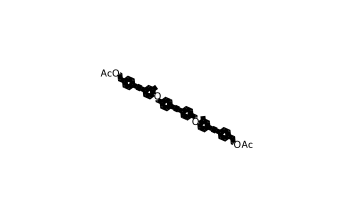 CC(=O)OCCc1ccc(C#Cc2ccc(OCc3ccc(C#Cc4ccc(COc5ccc(C#Cc6ccc(CCOC(C)=O)cc6)cc5C)cc4)cc3)c(C)c2)cc1